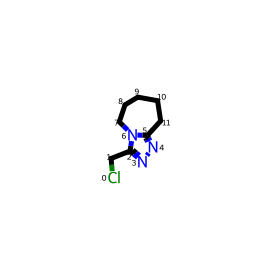 ClCc1nnc2n1CCCCC2